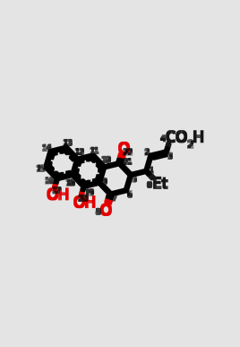 CCC(C=CC(=O)O)C1CC(=O)c2c(cc3cccc(O)c3c2O)C1=O